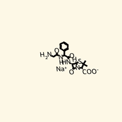 CC1(C)S[C@@H]2[C@H](NC(=O)C(NC(=O)CN)c3ccccc3)C(=O)N2[C@H]1C(=O)[O-].[Na+]